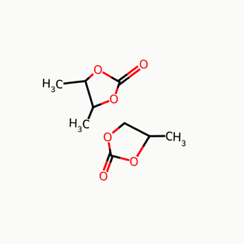 CC1COC(=O)O1.CC1OC(=O)OC1C